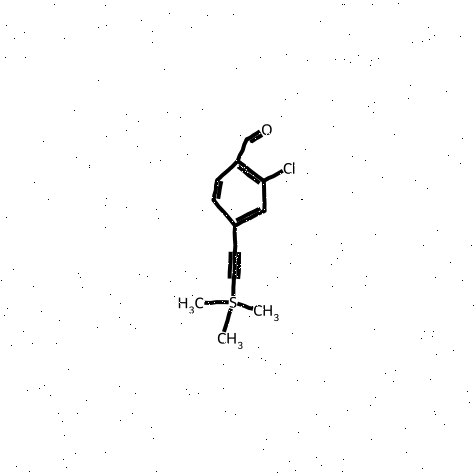 CS(C)(C)C#Cc1ccc(C=O)c(Cl)c1